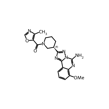 COc1cccc2c1nc(N)n1nc([C@@H]3CCCN(C(=O)c4ocnc4C)C3)nc21